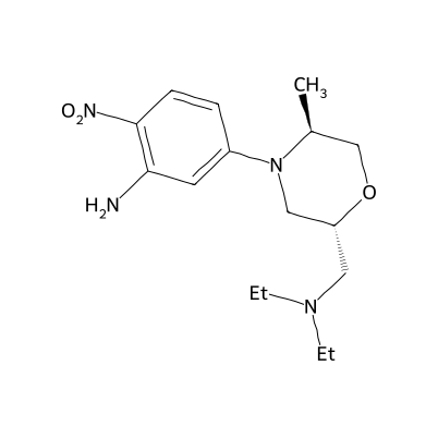 CCN(CC)C[C@@H]1CN(c2ccc([N+](=O)[O-])c(N)c2)[C@@H](C)CO1